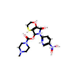 CN1CCN(C(=O)OC2C3=C(OCCS3)C(=O)N2c2ccc([N+](=O)[O-])cn2)CC1